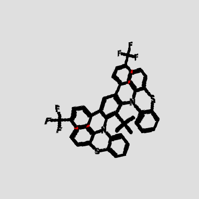 CC(C)(C)c1c(N2c3ccccc3Sc3ccccc32)c(-c2ccc(C(F)(F)F)cc2)cc(-c2ccc(C(F)(F)F)cc2)c1N1c2ccccc2Sc2ccccc21